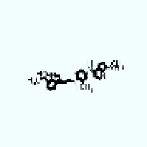 CNC1CCc2c(Nc3ccc(NCCc4c[nH]c5c(C(C)O)cccc45)c(C)c3)ccnc21